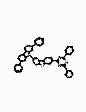 c1ccc(-c2ccc3c4ccc(-c5ccccc5)cc4n(-c4ccc5oc6cc(-c7nc(-c8ccccc8)nc(-c8ccccc8)n7)ccc6c5c4)c3c2)cc1